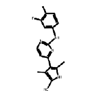 Cc1ccc(Nc2nccc(-c3c(C)[nH]c(C#N)c3C)n2)cc1F